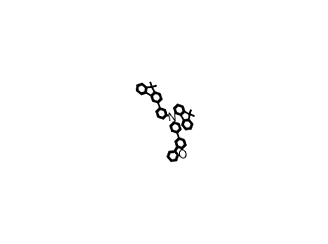 CC1(C)c2ccccc2-c2cc(-c3cccc(N(c4ccc(-c5ccc6oc7ccccc7c6c5)cc4)c4cccc5c4-c4ccccc4C5(C)C)c3)ccc21